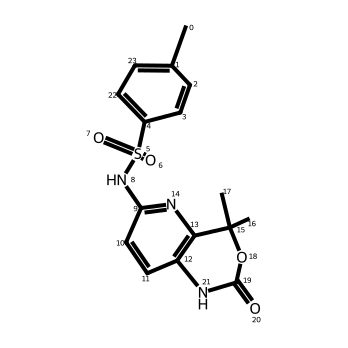 Cc1ccc(S(=O)(=O)Nc2ccc3c(n2)C(C)(C)OC(=O)N3)cc1